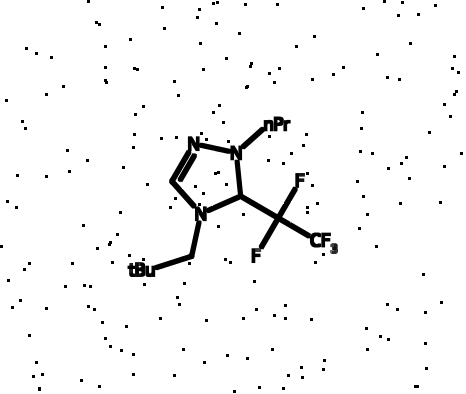 CCCN1N=CN(CC(C)(C)C)C1C(F)(F)C(F)(F)F